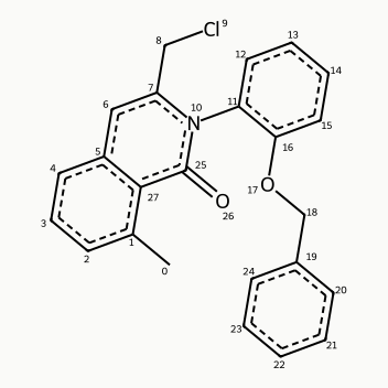 Cc1cccc2cc(CCl)n(-c3ccccc3OCc3ccccc3)c(=O)c12